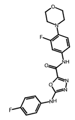 O=C(Nc1ccc(N2CCOCC2)c(F)c1)c1nnc(Nc2ccc(F)cc2)o1